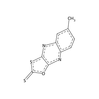 Cc1ccc2nc3oc(=S)sc3nc2c1